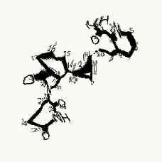 NC(=O)c1ncccc1CC[C@@H]1C[C@H]1c1cccc2c1CN(C1CCC(=O)NC1=O)C2=O